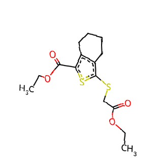 CCOC(=O)CSc1sc(C(=O)OCC)c2c1CCCC2